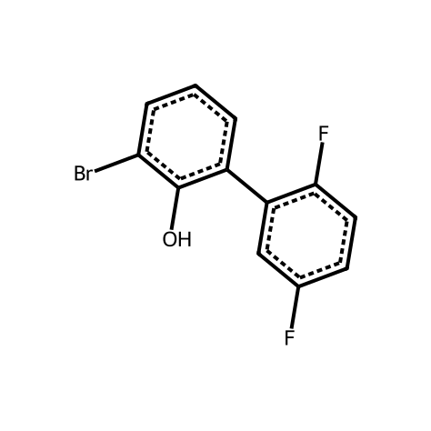 Oc1c(Br)cccc1-c1cc(F)ccc1F